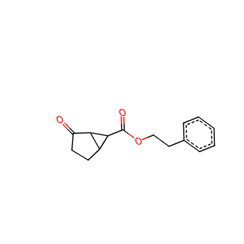 O=C1CCC2C1C2C(=O)OCCc1ccccc1